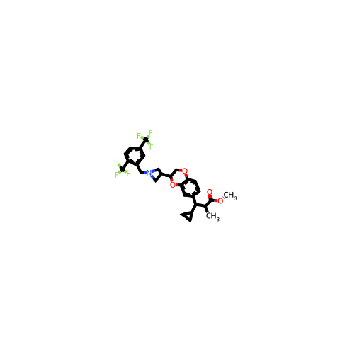 COC(=O)C(C)C(c1ccc2c(c1)OC(C1CN(Cc3cc(C(F)(F)F)ccc3C(F)(F)F)C1)CO2)C1CC1